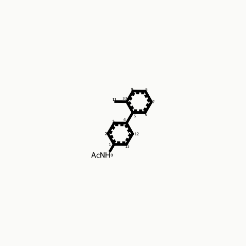 CC(=O)Nc1ccc(-c2ccccc2C)cc1